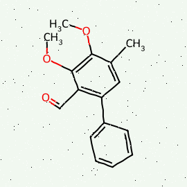 COc1c(C)cc(-c2ccccc2)c(C=O)c1OC